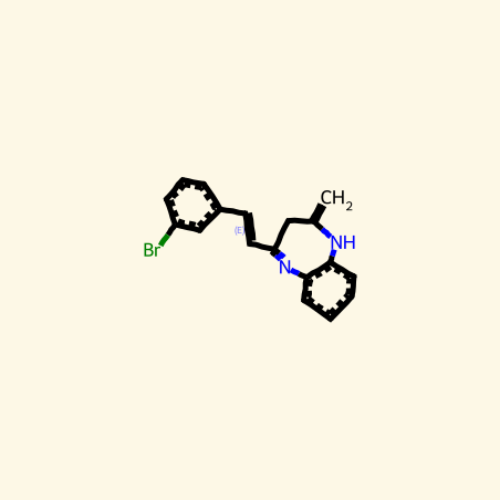 C=C1CC(/C=C/c2cccc(Br)c2)=Nc2ccccc2N1